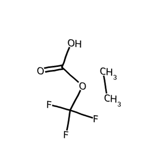 CC.O=C(O)OC(F)(F)F